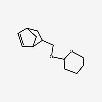 C1=CC2CC1CC2COC1CCCCO1